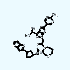 Cc1ncc(-c2nc3c(s2)c(C(N)O)nn3CC(=O)N2CCCOC[C@H]2C(=S)NC2CCC(c3cc4sccc4s3)C2)cn1